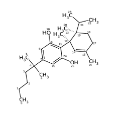 CCCCC(C)(C)c1cc(O)c([C@]2(C)C=C(C)CC[C@]2(C)C(C)C)c(O)c1